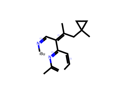 C=C(C)/N=C(\C=C/C)C(/C=N\C(C)CC)=C(/C)CC1(C)CC1